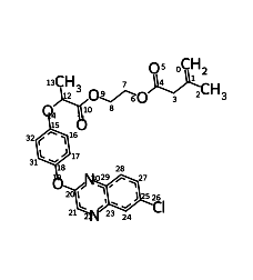 C=C(C)CC(=O)OCCOC(=O)C(C)Oc1ccc(Oc2cnc3cc(Cl)ccc3n2)cc1